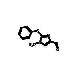 Cn1cc(C=O)nc1Sc1ccccc1